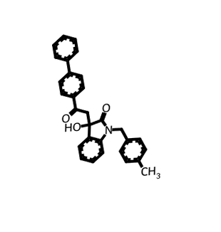 Cc1ccc(CN2C(=O)C(O)(CC(=O)c3ccc(-c4ccccc4)cc3)c3ccccc32)cc1